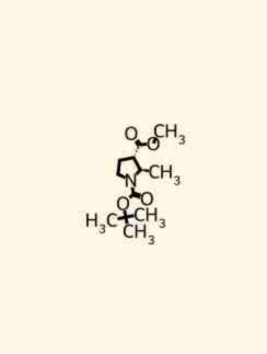 COC(=O)[C@H]1CCN(C(=O)OC(C)(C)C)[C@@H]1C